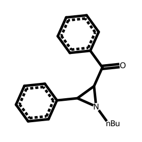 CCCCN1C(C(=O)c2ccccc2)C1c1ccccc1